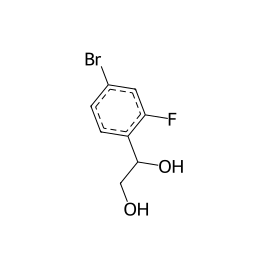 OCC(O)c1ccc(Br)cc1F